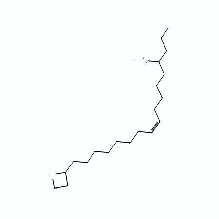 CCCC(N)CCCC/C=C\CCCCCCCC1CCO1